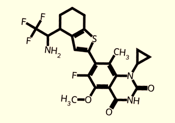 COc1c(F)c(-c2cc3c(s2)CCCC3C(N)C(F)(F)F)c(C)c2c1c(=O)[nH]c(=O)n2C1CC1